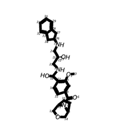 COc1cc(C(=O)N2C3CCC2COC3)ccc1C(O)NC[C@@H](O)CNC1Cc2ccccc2C1